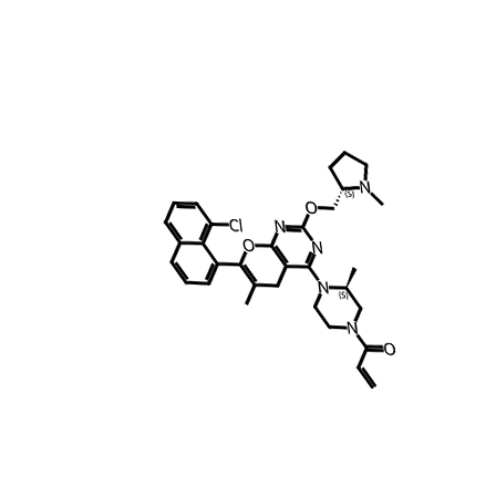 C=CC(=O)N1CCN(c2nc(OC[C@@H]3CCCN3C)nc3c2CC(C)=C(c2cccc4cccc(Cl)c24)O3)[C@@H](C)C1